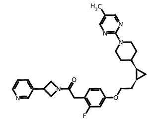 Cc1cnc(N2CCC([C@H]3C[C@H]3CCOc3ccc(CC(=O)N4CC(c5cccnc5)C4)c(F)c3)CC2)nc1